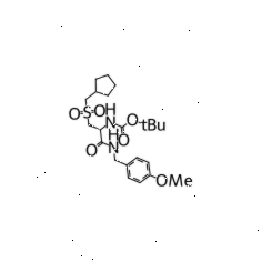 COc1ccc(CNC(=O)[C@@H](CS(=O)(=O)CC2CCCC2)NC(=O)OC(C)(C)C)cc1